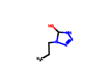 CCCN1N=NNC1O